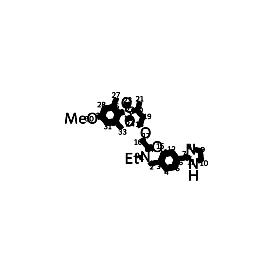 CCN(Cc1ccc(C2=NCCN2)cc1)C(=O)COCCC(C)S(=O)(=O)c1c(C)cc(OC)cc1C